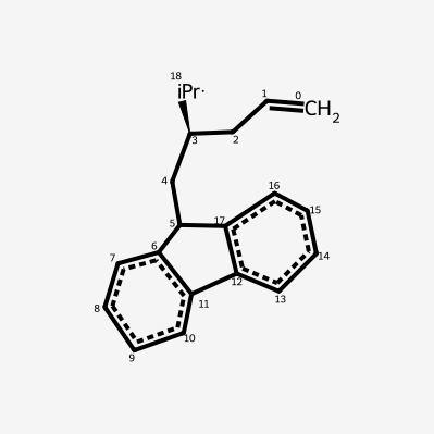 C=CC[C@@H](CC1c2ccccc2-c2ccccc21)[C](C)C